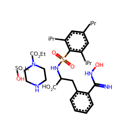 CC(C)c1cc(C(C)C)c(S(=O)(=O)NC(Cc2ccccc2C(=N)NO)C(=O)O)c(C(C)C)c1.CCOC(=O)N1CCNCC1.O=S(=O)(O)O